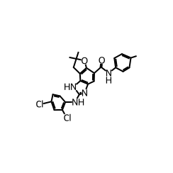 Cc1ccc(NC(=O)c2cc3nc(Nc4ccc(Cl)cc4Cl)[nH]c3c3c2OC(C)(C)C3)cc1